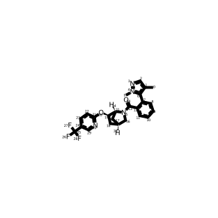 Cc1cnn(C)c1-c1ccccc1C(=O)N1C[C@H]2C[C@@H](Oc3ccc(C(F)(F)F)cn3)[C@@H]1C2